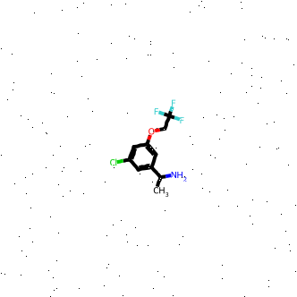 CC(N)c1cc(Cl)cc(OCC(F)(F)F)c1